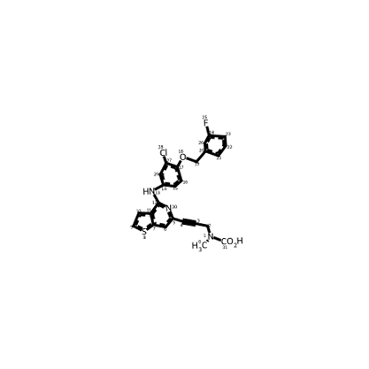 CN(CC#Cc1cc2sccc2c(Nc2ccc(OCc3cccc(F)c3)c(Cl)c2)n1)C(=O)O